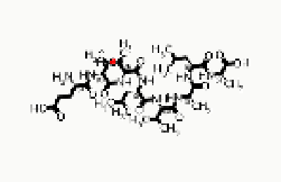 CC(C)C[C@H](NC(=O)[C@H](C)NC(=O)[C@@H](NC(=O)[C@H](CC(C)C)NC(=O)[C@@H](NC(=O)[C@@H](NC(=O)[C@@H](N)CCC(=O)O)C(C)C)C(C)C)C(C)C)C(=O)N[C@@H](C)C(=O)O